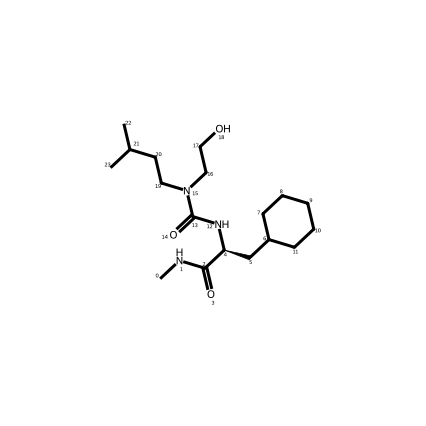 CNC(=O)[C@H](CC1CCCCC1)NC(=O)N(CCO)CCC(C)C